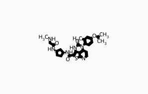 CNCC(=O)N[C@@H]1CC[C@H](NC(=O)c2sc3nccc4c3c2NC(=O)N4c2ccc(OC(C)C)cc2C)C1